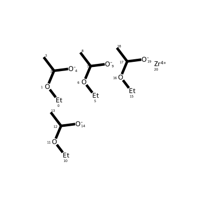 CCOC(C)[O-].CCOC(C)[O-].CCOC(C)[O-].CCOC(C)[O-].[Zr+4]